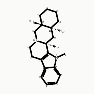 Cn1c2c(c3ccccc31)CCN1C[C@@H]3CCCC[C@H]3C[C@@H]21